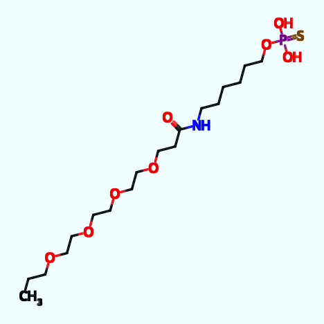 CCCOCCOCCOCCOCCC(=O)NCCCCCCOP(O)(O)=S